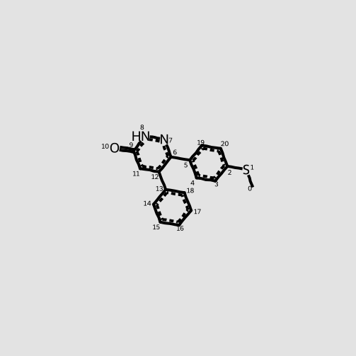 CSc1ccc(-c2n[nH]c(=O)cc2-c2ccccc2)cc1